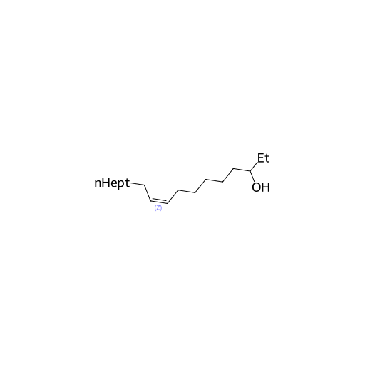 [CH2]CC(O)CCCCC/C=C\CCCCCCCC